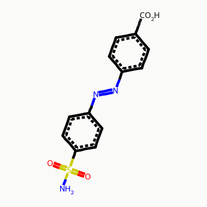 NS(=O)(=O)c1ccc(N=Nc2ccc(C(=O)O)cc2)cc1